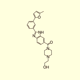 Cc1ccc(-c2cccc(-c3nc4ccc(C(=O)N5CCN(CCO)CC5)cc4[nH]3)c2)o1